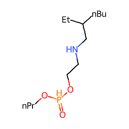 CCCCC(CC)CNCCO[PH](=O)OCCC